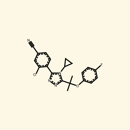 CC(C)(Oc1ccc(F)cc1)c1nnc(-c2ccc(C#N)cc2Cl)n1C1CC1